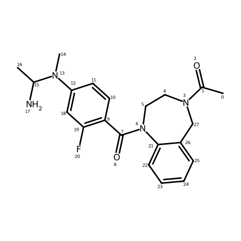 CC(=O)N1CCN(C(=O)c2ccc(N(C)C(C)N)cc2F)c2ccccc2C1